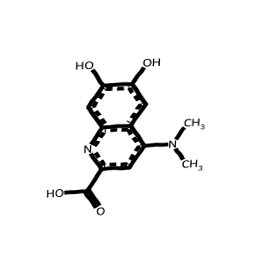 CN(C)c1cc(C(=O)O)nc2cc(O)c(O)cc12